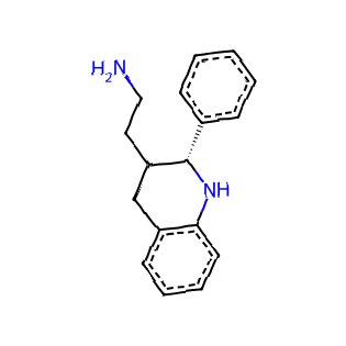 NCCC1Cc2ccccc2N[C@H]1c1ccccc1